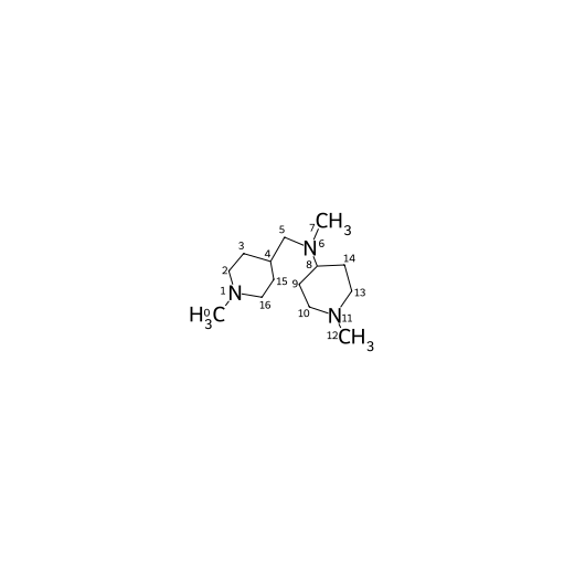 CN1CCC(CN(C)C2CCN(C)CC2)CC1